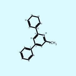 Cc1cc(-c2ccccc2)cc(C2=CCCC=C2)n1